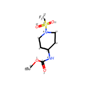 CC(C)(C)OC(=O)NC1CCN(S(=O)(=O)C(F)(F)F)CC1